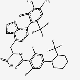 Cc1cc(C(F)(F)F)c(-c2ccc(CC(NC(=O)c3c(F)cc(N4CCCCC4C(F)(F)F)cc3F)C(=O)O)n3ccnc23)c(=O)n1C